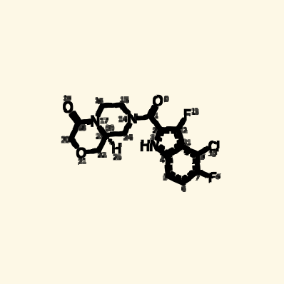 O=C(c1[nH]c2ccc(F)c(Cl)c2c1F)N1CCN2C(=O)COC[C@@H]2C1